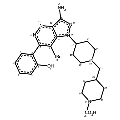 CC(C)(C)c1c(-c2ccccc2O)nnc2c(N)nn(C3CCN(CC4CCN(C(=O)O)CC4)CC3)c12